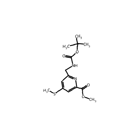 COC(=O)c1cc(SC)cc(CNC(=O)OC(C)(C)C)n1